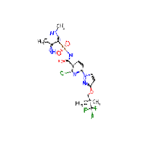 CN/C=C(\C(C)=N)S(=O)(=O)NC(=O)c1ccc(-n2ccc(OCC(C)(C)C(F)(F)F)n2)nc1Cl